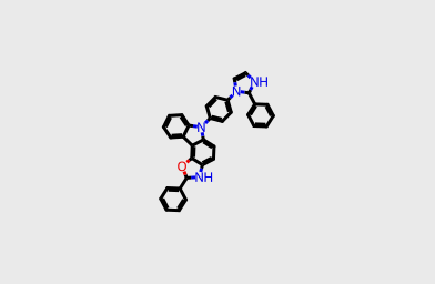 C1=CN(c2ccc(-n3c4ccccc4c4c5c(ccc43)NC(c3ccccc3)O5)cc2)C(c2ccccc2)N1